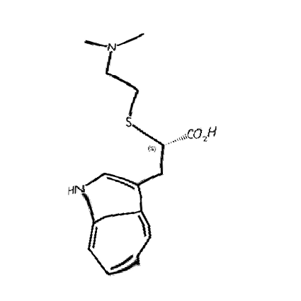 CN(C)CCS[C@@H](Cc1c[nH]c2ccccc12)C(=O)O